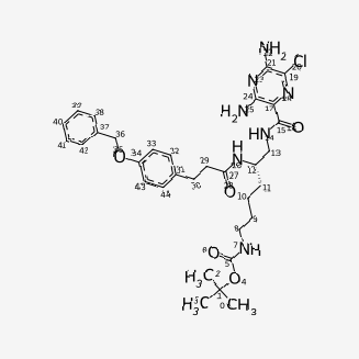 CC(C)(C)OC(=O)NCCCC[C@@H](CNC(=O)c1nc(Cl)c(N)nc1N)NC(=O)CCc1ccc(OCc2ccccc2)cc1